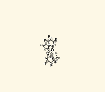 Fc1cc([O][Zr]([O]c2cc(F)c(F)c(F)c2)([C]2=CC=CC2)[C]2=CC=CC2)cc(F)c1F